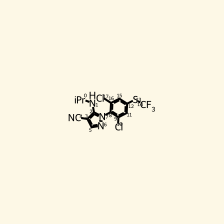 CC(C)Nc1c(C#N)cnn1-c1c(Cl)cc(SC(F)(F)F)cc1Cl